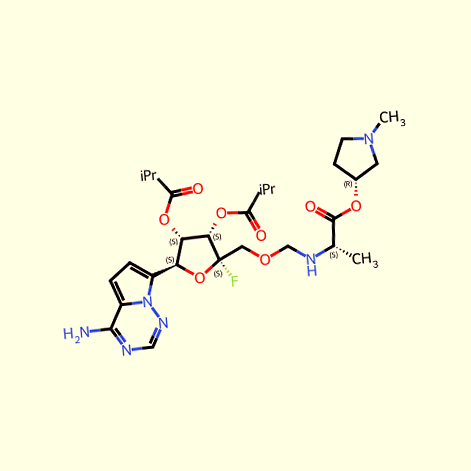 CC(C)C(=O)O[C@H]1[C@H](c2ccc3c(N)ncnn23)O[C@](F)(COCN[C@@H](C)C(=O)O[C@@H]2CCN(C)C2)[C@H]1OC(=O)C(C)C